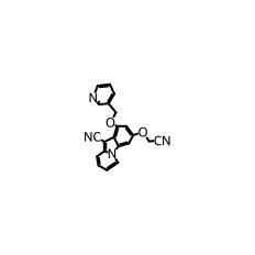 N#CCOc1cc(OCc2cccnc2)c2c(C#N)c3ccccn3c2c1